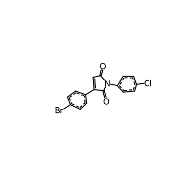 O=C1C=C(c2ccc(Br)cc2)C(=O)N1c1ccc(Cl)cc1